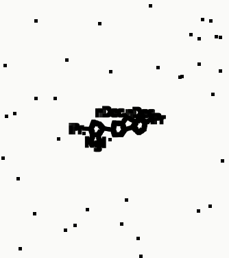 CCCCCCCCCCC1(CCCCCCCCCC)c2cc(-c3ccc(C(C)C)c4nsnc34)ccc2-c2ccc(C(C)C)cc21